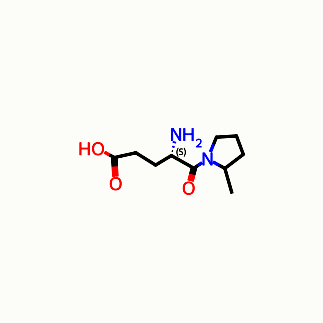 CC1CCCN1C(=O)[C@@H](N)CCC(=O)O